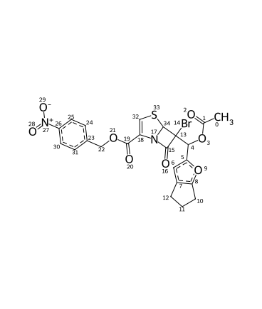 CC(=O)OC(c1cc2c(o1)CCC2)C1(Br)C(=O)N2C(C(=O)OCc3ccc([N+](=O)[O-])cc3)=CSC21